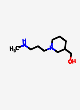 CNCCCN1CCCC(CO)C1